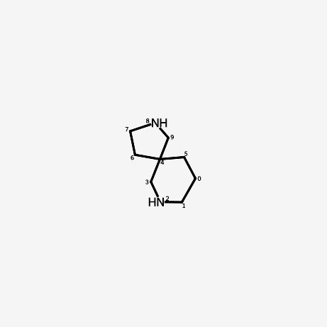 C1CNCC2(C1)CCNC2